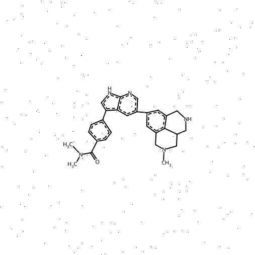 CN1Cc2cc(-c3cnc4[nH]cc(-c5ccc(C(=O)N(C)C)cc5)c4c3)cc3c2C(CNC3)C1